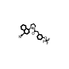 N#Cc1ccc(N2CCCN2C(=O)Cc2cccc(OC(F)(F)F)c2)c2ccccc12